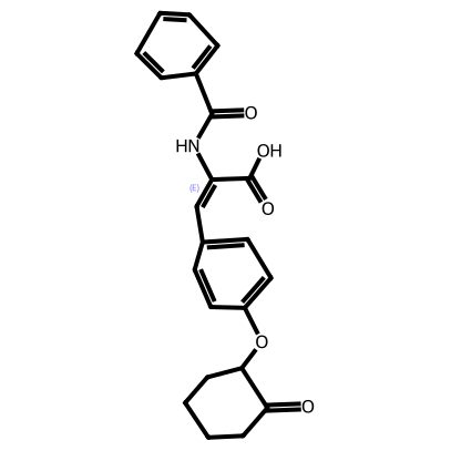 O=C(O)/C(=C\c1ccc(OC2CCCCC2=O)cc1)NC(=O)c1ccccc1